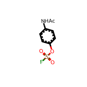 CC(=O)Nc1ccc(OS(=O)(=O)F)cc1